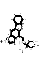 CC(CO)(CO)NCc1c2ccoc2cc2c1oc1ccccc12.Cl